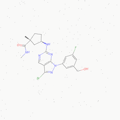 CNC(=O)[C@]1(C)CC[C@@H](Nc2ncc3c(Br)nn(-c4cc(F)cc(CO)c4)c3n2)C1